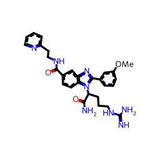 COc1cccc(-c2nc3cc(C(=O)NCCc4ccccn4)ccc3n2C(CCCNC(=N)N)C(N)=O)c1